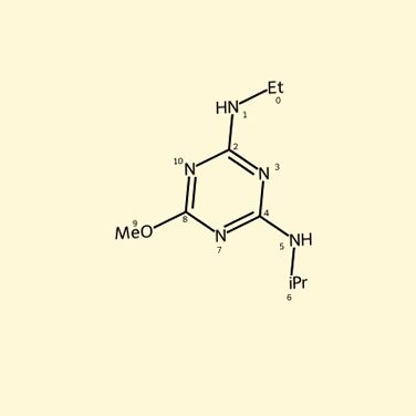 CCNc1nc(NC(C)C)nc(OC)n1